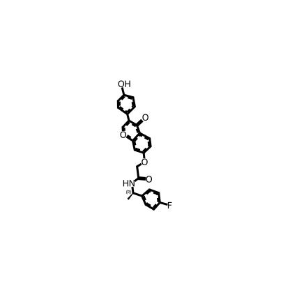 C[C@@H](NC(=O)COc1ccc2c(=O)c(-c3ccc(O)cc3)coc2c1)c1ccc(F)cc1